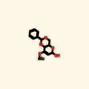 CCCCOC1=CC(O)OC2COC(c3ccccc3)OC12